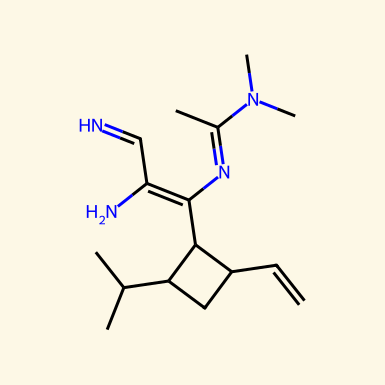 C=CC1CC(C(C)C)C1C(/N=C(\C)N(C)C)=C(\N)C=N